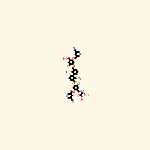 Cc1c(COc2cc(OCc3cncc(C#N)c3)c(CO)cc2Cl)cccc1-c1cccc(COc2cc(OCc3cncc(C#N)c3)c(CN[C@H](CO)C(=O)O)cc2Cl)c1C